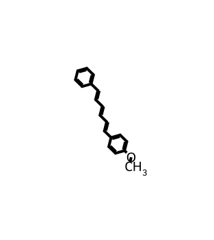 COc1ccc(C=CC=CC=Cc2ccccc2)cc1